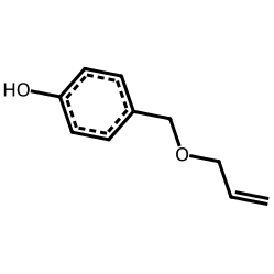 C=CCOCc1ccc(O)cc1